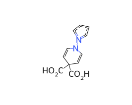 O=C(O)C1(C(=O)O)C=CN(n2cccc2)C=C1